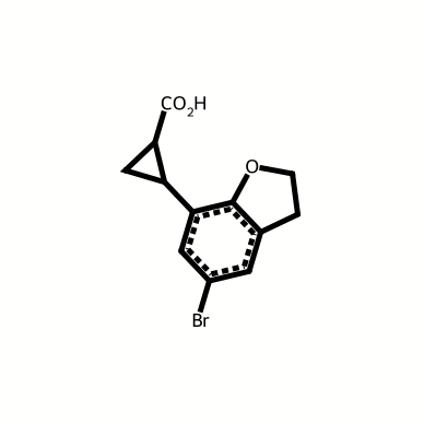 O=C(O)C1CC1c1cc(Br)cc2c1OCC2